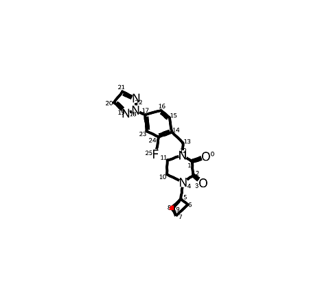 O=C1C(=O)N(C23CC(C2)C3)CCN1Cc1ccc(-n2nccn2)cc1F